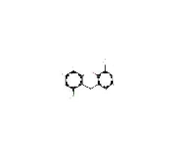 Cc1cccc(Cc2ccccc2Cl)c1O